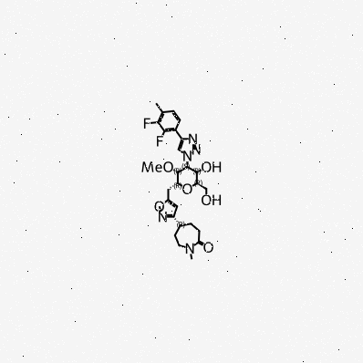 CO[C@@H]1[C@@H](n2cc(-c3ccc(C)c(F)c3F)nn2)[C@@H](O)[C@@H](CO)O[C@@H]1Cc1cc([C@@H]2CCC(=O)N(C)CC2)no1